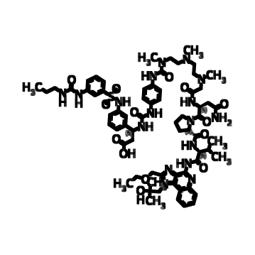 CCCNC(=O)Nc1cccc(S(=O)(=O)Nc2cccc([C@H](CC(=O)O)NC(=O)Nc3ccc(NC(=O)N(C)CCN(C)CCN(C)CC(=O)N[C@@H](CC(N)=O)C(=O)N4CCC[C@H]4C(=O)N[C@H](C(=O)Nc4nc5ccccc5c5c4nc(COCC)n5CC(C)(C)O)C(C)C)cc3)c2)c1